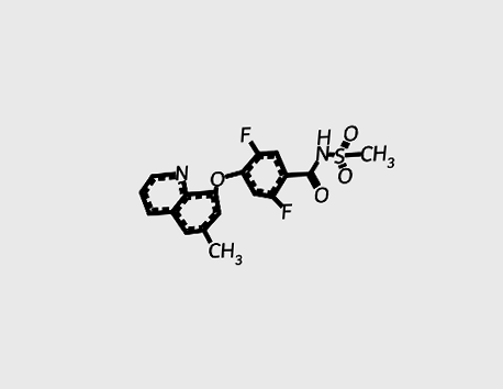 Cc1cc(Oc2cc(F)c(C(=O)NS(C)(=O)=O)cc2F)c2ncccc2c1